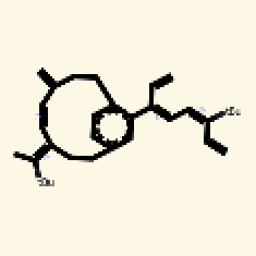 C=C/C(=C\C=C(/C=C)C(C)(C)C)c1cc2ccc1CCC(=C)/C=C\C(=C(/C)C(C)(C)C)CC2